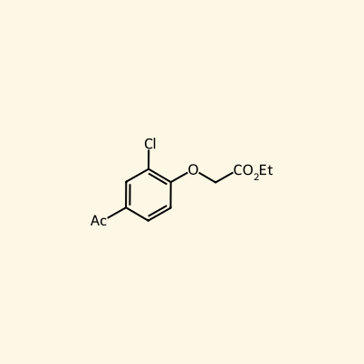 CCOC(=O)COc1ccc(C(C)=O)cc1Cl